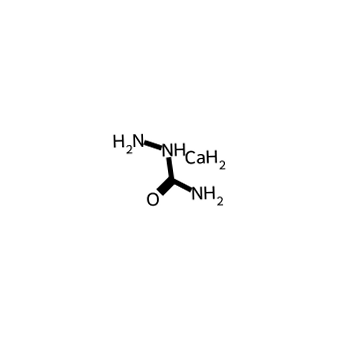 NNC(N)=O.[CaH2]